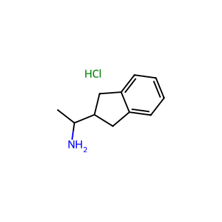 CC(N)C1Cc2ccccc2C1.Cl